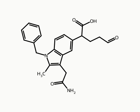 Cc1c(CC(N)=O)c2cc(C(CCC=O)C(=O)O)ccc2n1Cc1ccccc1